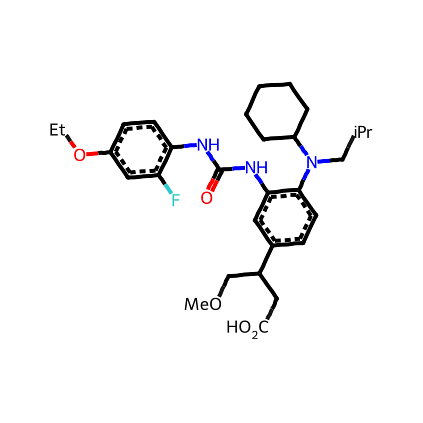 CCOc1ccc(NC(=O)Nc2cc(C(COC)CC(=O)O)ccc2N(CC(C)C)C2CCCCC2)c(F)c1